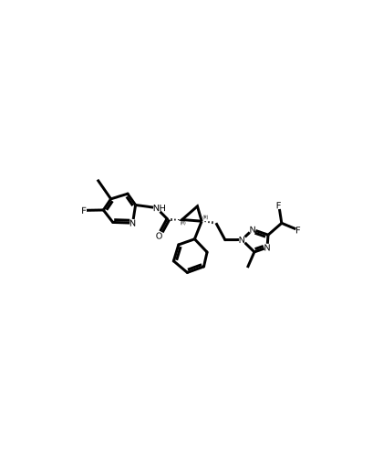 Cc1cc(NC(=O)[C@@H]2C[C@@]2(CCn2nc(C(F)F)nc2C)C2C=CC=CC2)ncc1F